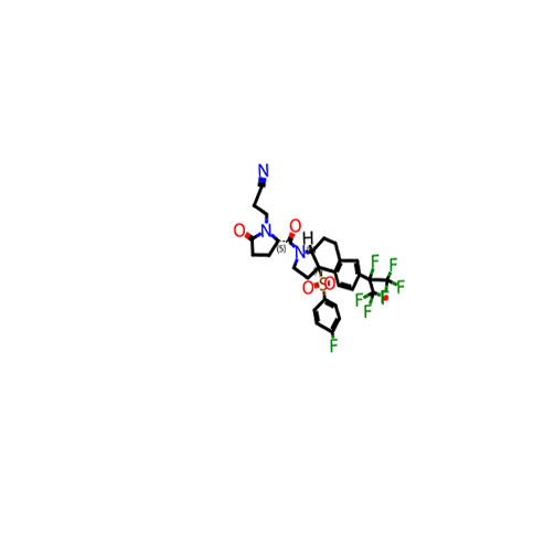 N#CCCN1C(=O)CC[C@H]1C(=O)N1CC[C@@]2(S(=O)(=O)c3ccc(F)cc3)c3ccc(C(F)(C(F)(F)F)C(F)(F)F)cc3CC[C@@H]12